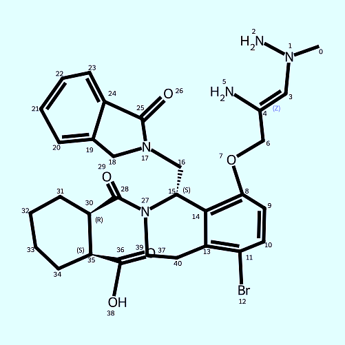 CN(N)/C=C(\N)COc1ccc(Br)c2c1[C@@H](CN1Cc3ccccc3C1=O)N(C(=O)[C@@H]1CCCC[C@@H]1C(=O)O)CC2